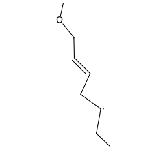 CC[CH]CC=CCOC